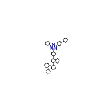 c1ccc(-c2ccc(-c3nc(-c4ccccc4)nc(-c4ccc(-c5ccc(-c6cccc7c6-c6ccccc6C76CCCCC6)c6ccccc56)cc4)n3)cc2)cc1